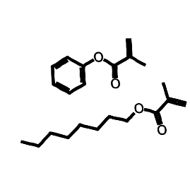 C=C(C)C(=O)OCCCCCCCC.C=C(C)C(=O)Oc1ccccc1